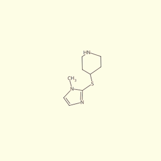 Cn1ccnc1SC1CCNCC1